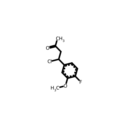 COc1cc(C(Cl)CC(C)=O)ccc1F